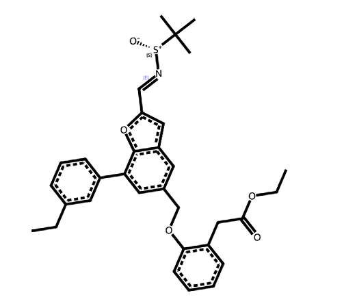 CCOC(=O)Cc1ccccc1OCc1cc(-c2cccc(CC)c2)c2oc(/C=N/[S@+]([O-])C(C)(C)C)cc2c1